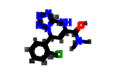 CN(C)C(=O)C1=CC(c2ccccc2Cl)n2nnnc2N1